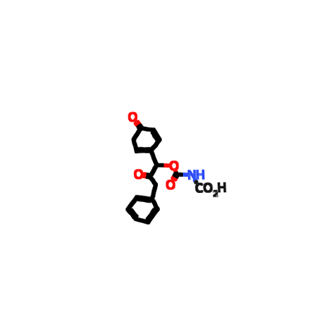 O=C1C=CC(C(OC(=O)NC(=O)O)C(=O)Cc2ccccc2)=CC1